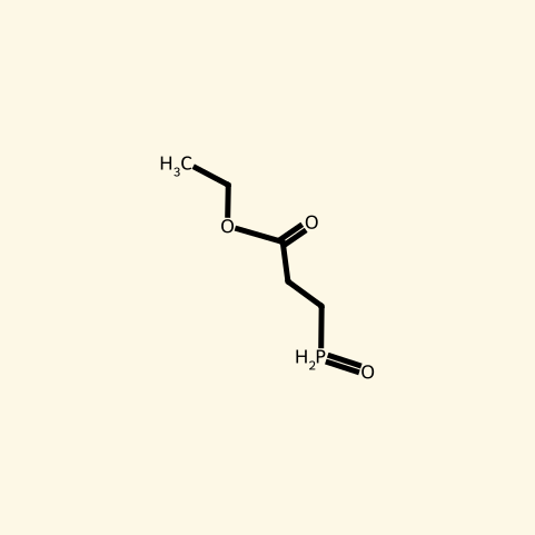 CCOC(=O)CC[PH2]=O